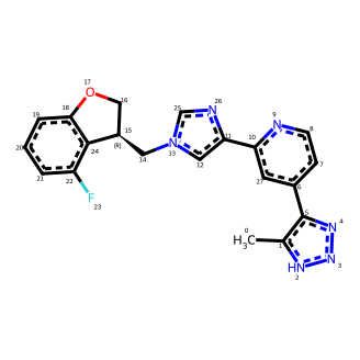 Cc1[nH]nnc1-c1ccnc(-c2cn(C[C@@H]3COc4cccc(F)c43)cn2)c1